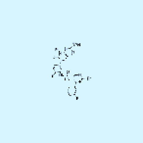 CNc1ncc2cc(-c3ccc(F)c(NC(=O)Nc4cnc(C(C)C)nc4-c4cccc(F)c4)c3)c(=O)n(C(C)C)c2n1